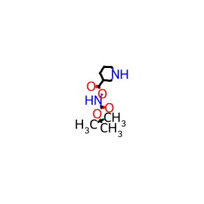 CC(C)(C)OC(=O)NOC(=O)C1CCCNC1